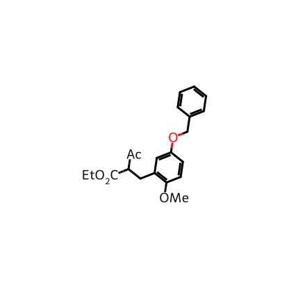 CCOC(=O)C(Cc1cc(OCc2ccccc2)ccc1OC)C(C)=O